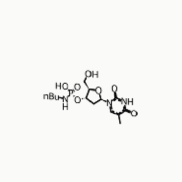 CCCCNP(=O)(O)O[C@H]1C[C@H](n2cc(C)c(=O)[nH]c2=O)O[C@@H]1CO